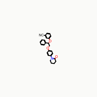 N#Cc1cccc(OC(COc2ccc(N3CCCCC3=O)cc2)c2ccccc2)c1